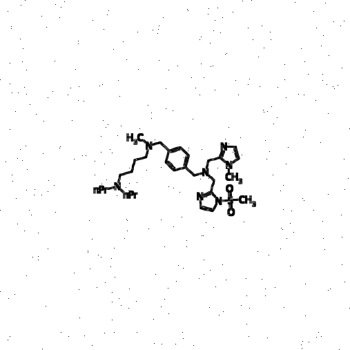 CCCN(CCC)CCCCN(C)Cc1ccc(CN(Cc2nccn2C)Cc2nccn2S(C)(=O)=O)cc1